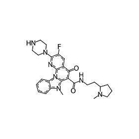 CN1CCCC1CCNC(=O)c1c(=O)c2cc(F)c(N3CCNCC3)nc2n2c3ccccc3n(C)c12